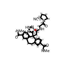 CNC(=O)c1ccc2c(c1)CCc1cc(C(=O)NC)ccc1C2(C[C@H](C)NCC(=O)N1CCC[C@H]1C#N)c1nn[nH]n1